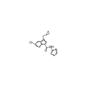 O=C(Nc1nccs1)c1cn(CC2CC2)c2cc(Cl)ccc12